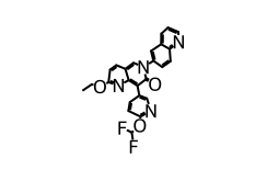 CCOc1ccc2cn(-c3ccc4ncccc4c3)c(=O)c(-c3ccc(OC(F)F)nc3)c2n1